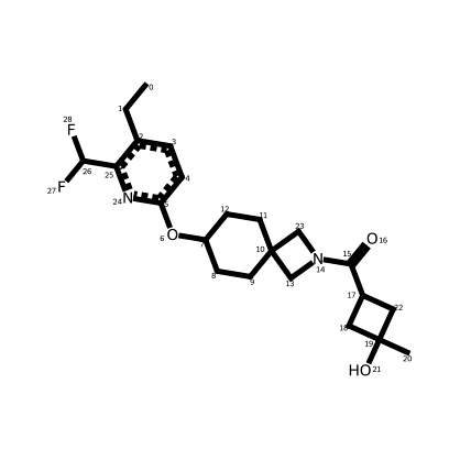 CCc1ccc(OC2CCC3(CC2)CN(C(=O)C2CC(C)(O)C2)C3)nc1C(F)F